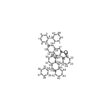 c1ccc(-c2ccccc2-c2ccc3cc4c(cc3c2)oc2cccc(-c3c5ccccc5c(-c5ccccc5)c5ccccc35)c24)cc1